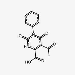 CC(=O)c1c(C(=O)O)[nH]c(=O)n(-c2ccccc2)c1=O